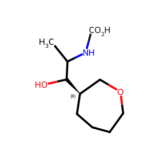 CC(NC(=O)O)C(O)[C@@H]1CCCCOC1